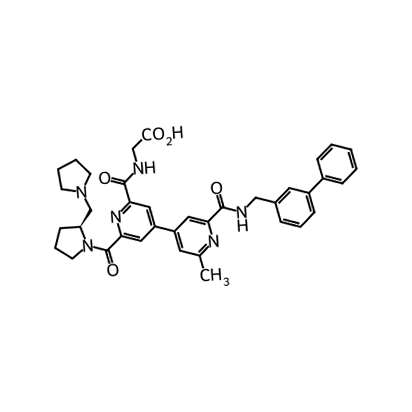 Cc1cc(-c2cc(C(=O)NCC(=O)O)nc(C(=O)N3CCC[C@H]3CN3CCCC3)c2)cc(C(=O)NCc2cccc(-c3ccccc3)c2)n1